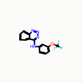 FC(F)(F)Oc1cccc(Nc2nnnc3ccccc23)c1